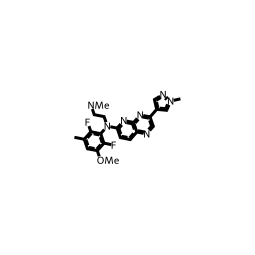 CNCCN(c1ccc2ncc(-c3cnn(C)c3)nc2n1)c1c(F)c(C)cc(OC)c1F